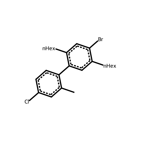 CCCCCCc1cc(-c2ccc(Cl)cc2C)c(CCCCCC)cc1Br